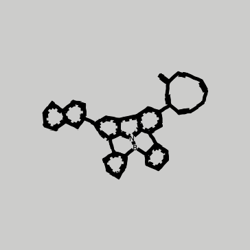 C=C1/C=C\C=C/C/C=C\C(c2cc3c4c(c2)c2cc(-c5ccc6ccccc6c5)cc5c2n4B(c2ccccc2-3)c2ccccc2-5)=C/1